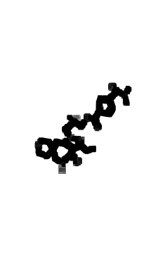 CCc1nn(C[C@@H](C)COC(=O)c2ccc(C(=O)N(C)C)cc2)c2c1C(=O)NCC1(CCOCC1)C2